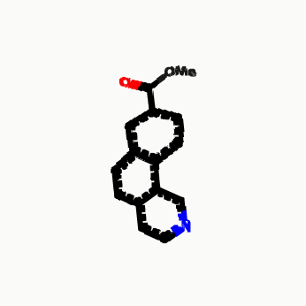 COC(=O)c1ccc2c(ccc3ccncc32)c1